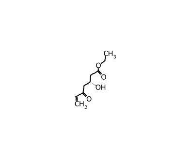 C=CC(=O)C[C@@H](O)CC(=O)OCC